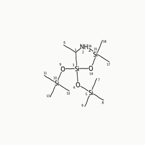 CC(N)[Si](O[Si](C)(C)C)(O[Si](C)(C)C)O[Si](C)(C)C